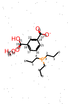 CCCP(CCC)CCC.O.O=C([O-])c1cccc(C(=O)O)c1.[K+]